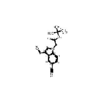 CC(C)(C)OC(=O)Cn1cc(C=O)c2cc(C#N)ccc21